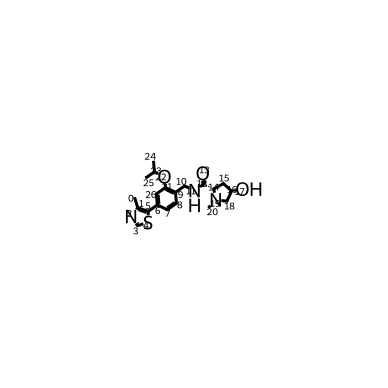 Cc1ncsc1-c1ccc(CNC(=O)[C@@H]2C[C@@H](O)CN2C)c(OC(C)C)c1